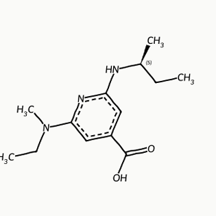 CC[C@H](C)Nc1cc(C(=O)O)cc(N(C)CC)n1